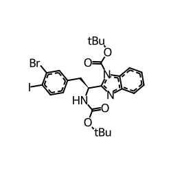 CC(C)(C)OC(=O)N[C@@H](Cc1ccc(I)c(Br)c1)c1nc2ccccc2n1C(=O)OC(C)(C)C